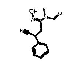 CN(C=O)C(CC(C#N)c1ccccc1)=NO